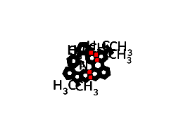 CC(C)(C)c1cc(-c2cccc3cccc(-c4ccccc4N(c4cccc5c4-c4ccccc4C5(C)C)c4cccc5oc6ccccc6c45)c23)cc(C(C)(C)C)c1